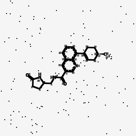 O=C1CCC(CNC(=O)c2cnc3c(C4=CC[C@@H](C(F)(F)F)CC4)cccc3c2)N1